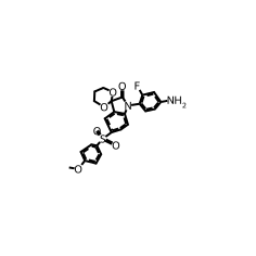 COc1ccc(S(=O)(=O)c2ccc3c(c2)C2(OCCCO2)C(=O)N3c2ccc(N)cc2F)cc1